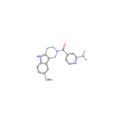 COc1ccc2[nH]c3c(c2c1)CN(C(=O)c1ccnc(N(C)C)c1)CC3